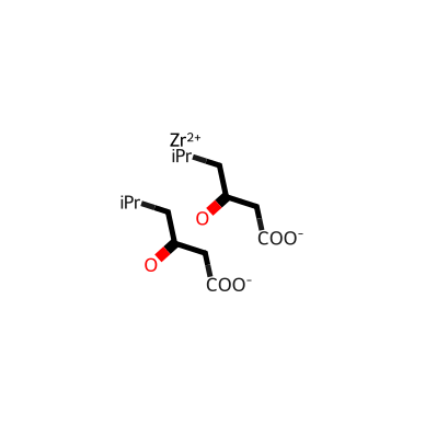 CC(C)CC(=O)CC(=O)[O-].CC(C)CC(=O)CC(=O)[O-].[Zr+2]